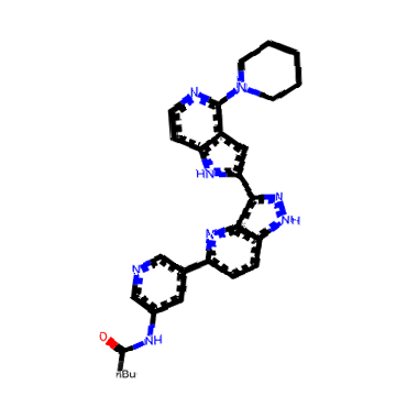 CCCCC(=O)Nc1cncc(-c2ccc3[nH]nc(-c4cc5c(N6CCCCC6)nccc5[nH]4)c3n2)c1